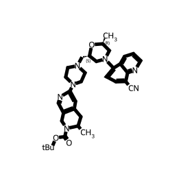 CC1Cc2cc(N3CCN(C[C@H]4CN(c5ccc(C#N)c6ncccc56)C[C@@H](C)O4)CC3)ncc2CN1C(=O)OC(C)(C)C